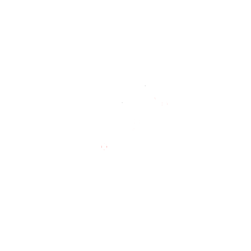 C=CC(=O)OC1(C2CCCO2)C2CCCCC1CCCC2